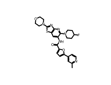 Cc1cc(-c2ccc(C(=O)Nc3cc4sc(N5CCOCC5)nc4nc3N3CCC(F)CC3)o2)ccn1